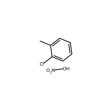 Cc1ccccc1Cl.O=[N+]([O-])O